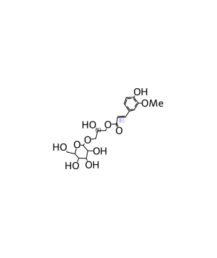 COc1cc(/C=C/C(=O)OC[C@@H](O)COC2OC(CO)C(O)C(O)C2O)ccc1O